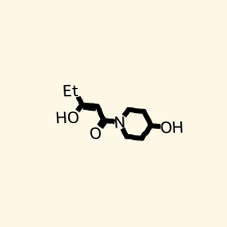 CC/C(O)=C/C(=O)N1CCC(O)CC1